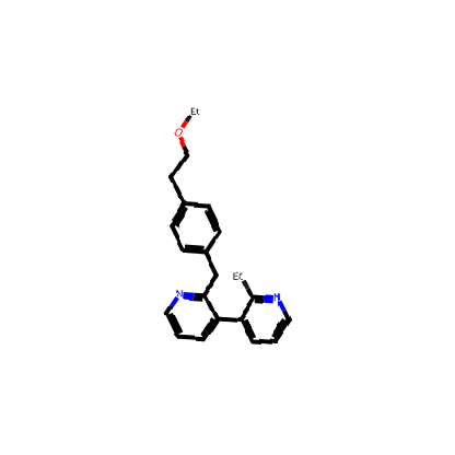 CCOCCc1ccc(Cc2ncccc2-c2cccnc2CC)cc1